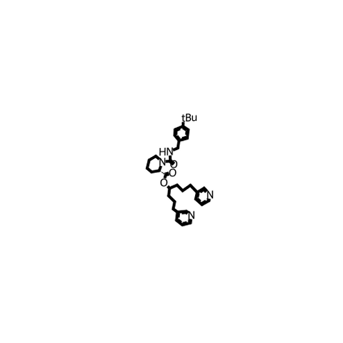 CC(C)(C)c1ccc(CNC(=O)N2CCCC[C@H]2C(=O)OC(CCCc2cccnc2)CCCc2cccnc2)cc1